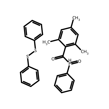 Cc1cc(C)c(C(=O)[PH](=O)c2ccccc2)c(C)c1.c1ccc(SSc2ccccc2)cc1